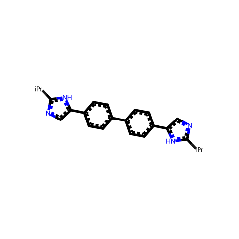 CC(C)c1ncc(-c2ccc(-c3ccc(-c4cnc(C(C)C)[nH]4)cc3)cc2)[nH]1